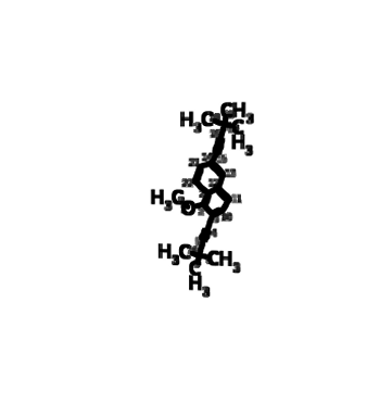 COc1c(C#CC(C)(C)C)ccc2cc(C#CC(C)(C)C)ccc12